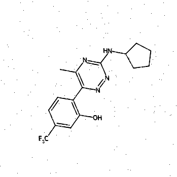 Cc1nc(NC2CCCC2)nnc1-c1ccc(C(F)(F)F)cc1O